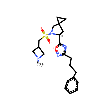 O=C(O)N1CC(CS(=O)(=O)N2CC3(CC3)C[C@H]2c2nc(CCCc3ccccc3)no2)C1